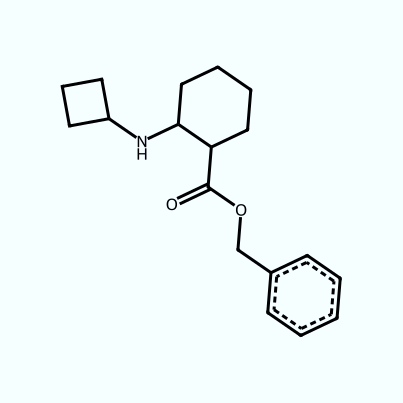 O=C(OCc1ccccc1)C1CCCCC1NC1CCC1